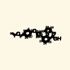 CCOCc1ccc(OC2CN(c3cccc(C(=O)O)c3-n3cccc3)C2)cc1